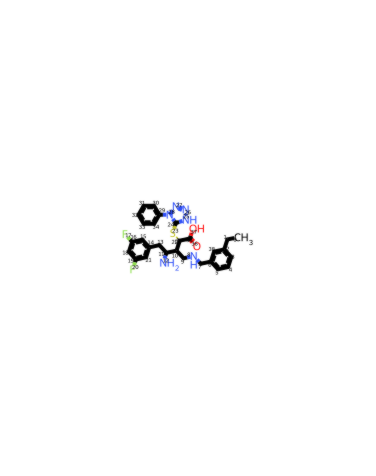 CCc1cccc(CNCC(C(N)Cc2cc(F)cc(F)c2)[C@H](SC2NN=NN2c2ccccc2)C(=O)O)c1